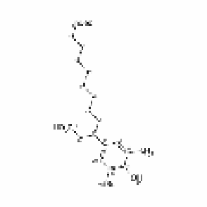 CCCCCCCCCCCCCCCCCCC(CC(=O)O)c1cc(C)c(O)c(C(C)(C)C)c1